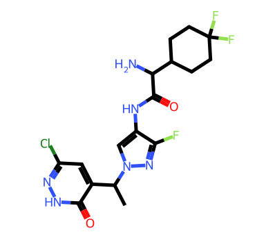 CC(c1cc(Cl)n[nH]c1=O)n1cc(NC(=O)C(N)C2CCC(F)(F)CC2)c(F)n1